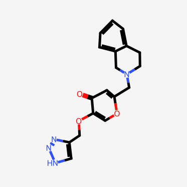 O=c1cc(CN2CCc3ccccc3C2)occ1OCc1c[nH]nn1